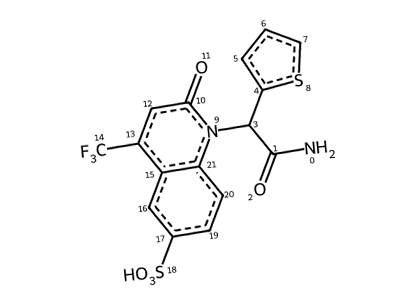 NC(=O)C(c1cccs1)n1c(=O)cc(C(F)(F)F)c2cc(S(=O)(=O)O)ccc21